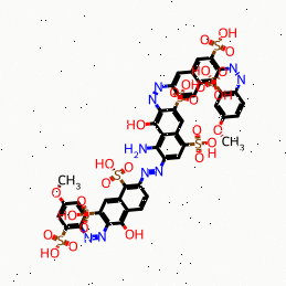 COc1ccc(/N=N\c2c(S(=O)(=O)O)cc3cc(/N=N\c4c(S(=O)(=O)O)cc5c(S(=O)(=O)O)cc(N=Nc6ccc7c(O)c(/N=N\c8ccc(OC)cc8S(=O)(=O)O)c(S(=O)(=O)O)cc7c6S(=O)(=O)O)c(N)c5c4O)ccc3c2O)c(S(=O)(=O)O)c1